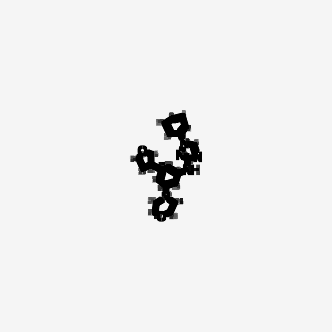 c1ccc(-n2cnc(Nc3cc(C4CCOC4)cc(N4CCOCC4)c3)n2)cc1